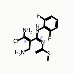 C=C(/N=C(Nc1c(F)cccc1F)\C(CN)=C(/N)Cl)SC